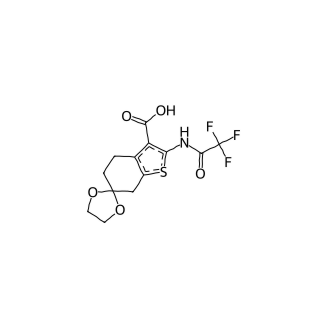 O=C(O)c1c(NC(=O)C(F)(F)F)sc2c1CCC1(C2)OCCO1